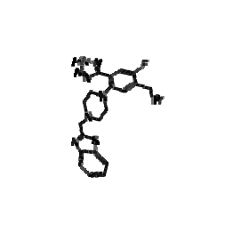 CC(C)Cc1cc(N2CCN(Cc3nc4ccccc4s3)CC2)c(-c2nn[nH]n2)cc1F